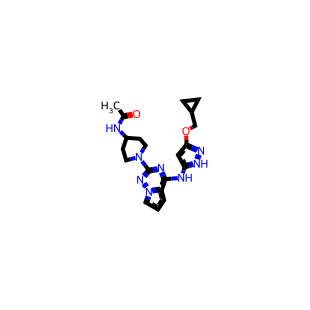 CC(=O)NC1CCN(c2nc(Nc3cc(OCC4CC4)n[nH]3)c3cccn3n2)CC1